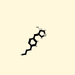 CCCCc1ccc(/C=C2\COC[C@H]2C)cc1